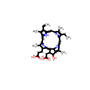 C=Cc1c(C)/c2[nH]/c1=C\C1N=C(/C=C3\NC4C(=C3C)C(O)C(CC(=O)O)/C4=C3N=C(/C=2)C(C)C/3CCC(=O)O)C(CC)=C1C